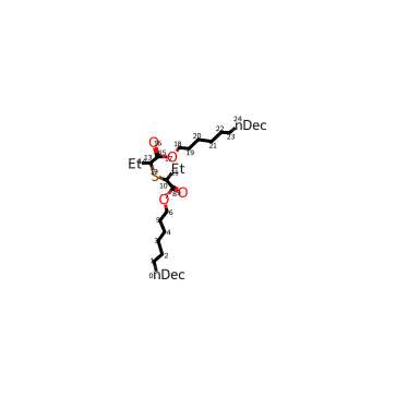 CCCCCCCCCCCCCCCCOC(=O)C(CC)SC(CC)C(=O)OCCCCCCCCCCCCCCCC